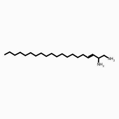 CCCCCCCCCCCCCCCCC=CC(N)CN